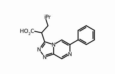 CC(C)CC(C(=O)O)c1nnc2cnc(-c3ccccc3)cn12